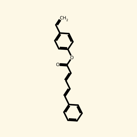 C=Cc1ccc(OC(=O)C=CC=Cc2ccccc2)cc1